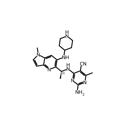 Cc1nc(N)nc(N[C@@H](C)c2nc3ccn(C)c3cc2NC2CCNCC2)c1C#N